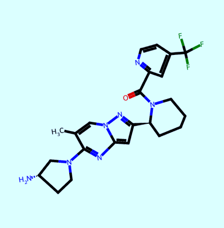 Cc1cn2nc([C@@H]3CCCCN3C(=O)c3cc(C(F)(F)F)ccn3)cc2nc1N1CC[C@H](N)C1